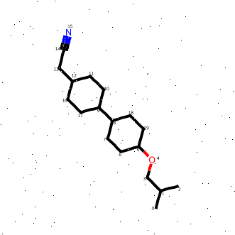 CC(C)COC1CCC(C2CCC(CC#N)CC2)CC1